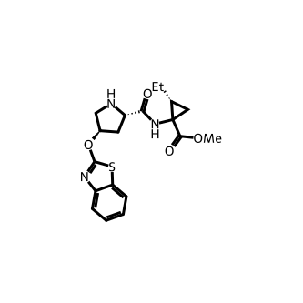 CC[C@@H]1CC1(NC(=O)[C@@H]1C[C@@H](Oc2nc3ccccc3s2)CN1)C(=O)OC